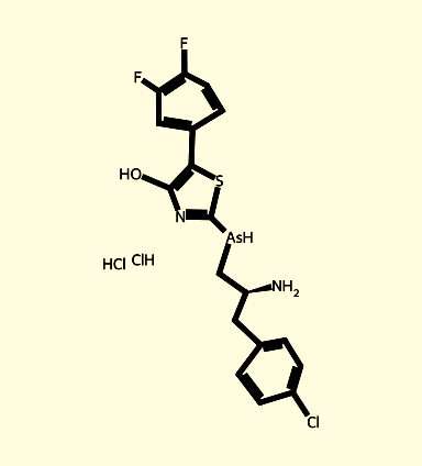 Cl.Cl.N[C@H](C[AsH]c1nc(O)c(-c2ccc(F)c(F)c2)s1)Cc1ccc(Cl)cc1